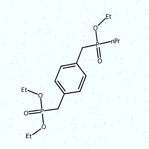 CCCP(=O)(Cc1ccc(CP(=O)(OCC)OCC)cc1)OCC